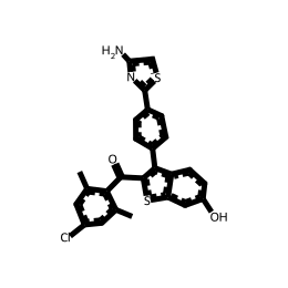 Cc1cc(Cl)cc(C)c1C(=O)c1sc2cc(O)ccc2c1-c1ccc(-c2nc(N)cs2)cc1